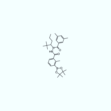 CCCC(N(NC(=O)c1cccc(B2OC(C)(C)C(C)(C)O2)c1C)C(=O)c1cc(C)cc(C)c1)C(C)(C)C